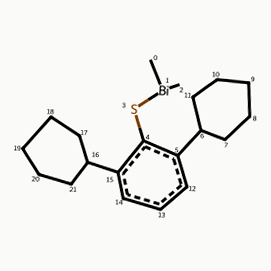 [CH3][Bi]([CH3])[S]c1c(C2CCCCC2)cccc1C1CCCCC1